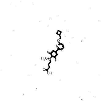 CN(CCCC(=O)O)c1c(F)cc(-c2cccc(OCC3CCC3)n2)cc1F